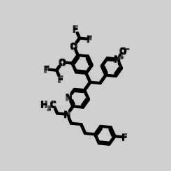 CCN(CCCc1ccc(F)cc1)c1ccc(C(Cc2cc[n+]([O-])cc2)c2ccc(OC(F)F)c(OC(F)F)c2)cn1